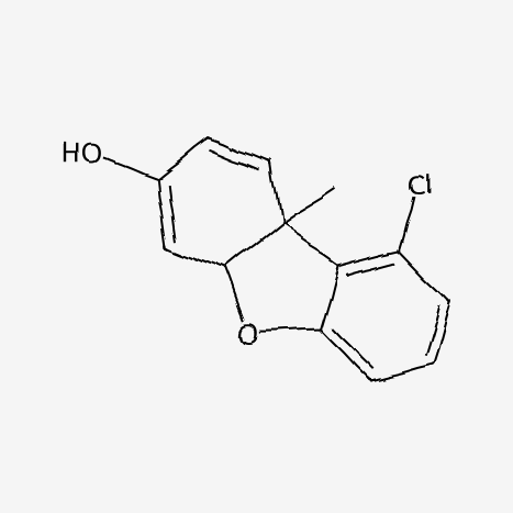 CC12C=CC(O)=CC1Oc1cccc(Cl)c12